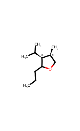 CCCC1OC[C@H](C)[C@@H]1C(C)C